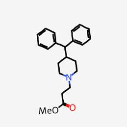 COC(=O)CCN1CCC(C(c2ccccc2)c2ccccc2)CC1